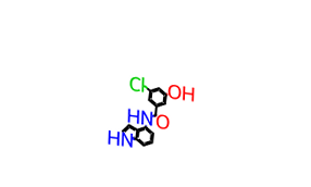 O=C(Nc1cccc2[nH]ccc12)c1cc(O)cc(Cl)c1